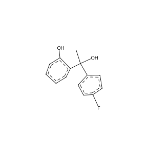 CC(O)(c1ccc(F)cc1)c1ccccc1O